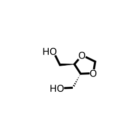 OC[C@H]1OCO[C@@H]1CO